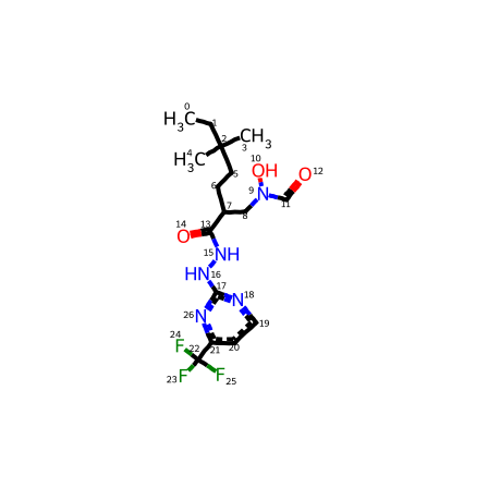 CCC(C)(C)CCC(CN(O)C=O)C(=O)NNc1nccc(C(F)(F)F)n1